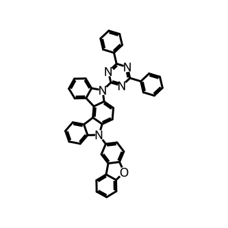 c1ccc(-c2nc(-c3ccccc3)nc(-n3c4ccccc4c4c5c6ccccc6n(-c6ccc7oc8ccccc8c7c6)c5ccc43)n2)cc1